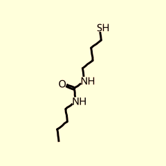 CCCCNC(=O)NCCCCS